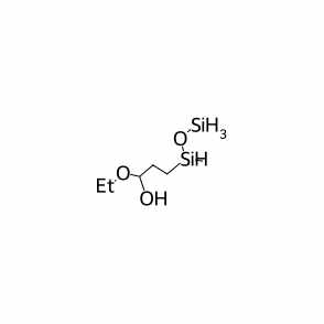 CCOC(O)CC[SiH](C)O[SiH3]